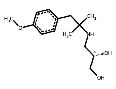 COc1ccc(CC(C)(C)NC[C@H](O)CO)cc1